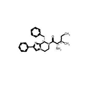 CC[C@@H](C)[C@H](N)C(=O)N1CCn2cc(-c3ccccc3)nc2[C@@H]1Cc1ccccc1